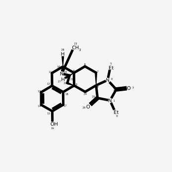 CCN1C(=O)N(CC)[C@]2(CC[C@H]3[C@H]4Cc5ccc(O)cc5[C@@]3(CCN4C)C2)C1=O